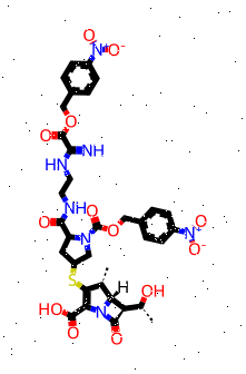 C[C@@H](O)[C@H]1C(=O)N2C(C(=O)O)=C(SC3CC(C(=O)NCCNC(=N)C(=O)OCc4ccc([N+](=O)[O-])cc4)N(C(=O)OCc4ccc([N+](=O)[O-])cc4)C3)[C@H](C)[C@H]12